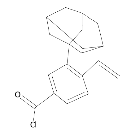 C=Cc1ccc(C(=O)Cl)cc1C12CC3CC(CC(C3)C1)C2